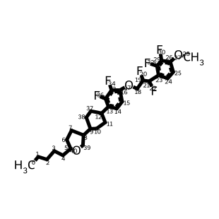 CCCCCC1CCC(C2CCC(c3ccc(OCC(F)C(F)c4ccc(OC)c(F)c4F)c(F)c3F)CC2)CO1